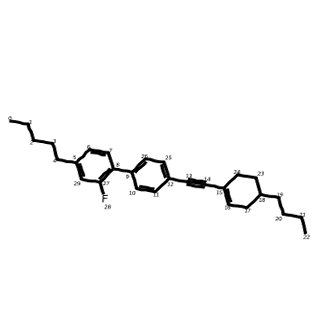 CCCCCc1ccc(-c2ccc(C#CC3=CCC(CCCC)CC3)cc2)c(F)c1